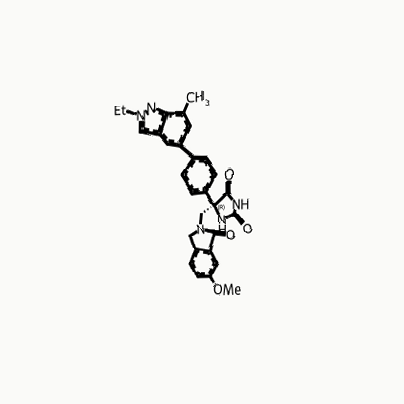 CCn1cc2cc(-c3ccc([C@]4(CN5Cc6ccc(OC)cc6C5=O)NC(=O)NC4=O)cc3)cc(C)c2n1